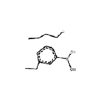 CCc1cccc(B(O)O)c1.[Li][CH2]CCC